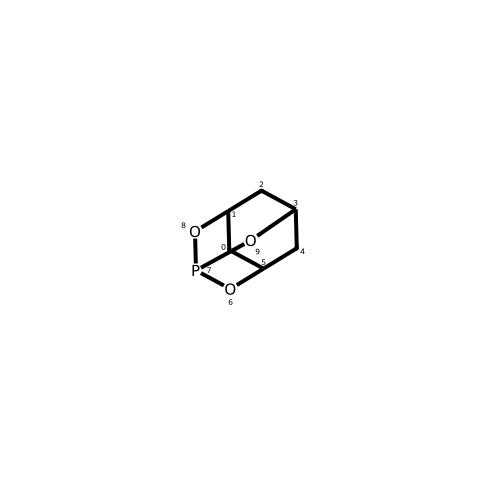 C1C2CC3CC1OP(O2)O3